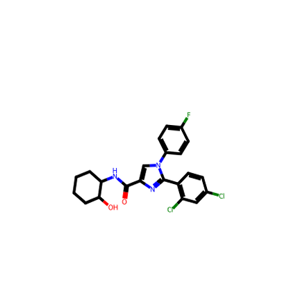 O=C(NC1CCCCC1O)c1cn(-c2ccc(F)cc2)c(-c2ccc(Cl)cc2Cl)n1